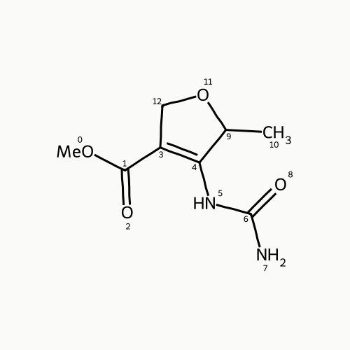 COC(=O)C1=C(NC(N)=O)C(C)OC1